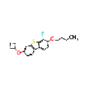 CCCCOc1ccc2c(sc3cc(OC4CCC4)ccc32)c1F